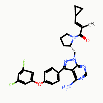 N#C/C(=C\C1CC1)C(=O)N1CCC[C@H]1Cn1nc(-c2ccc(Oc3cc(F)cc(F)c3)cc2)c2c(N)ncnc21